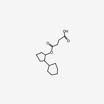 O=C(O)CCC(=O)OC1CCCC1C1CCCCC1